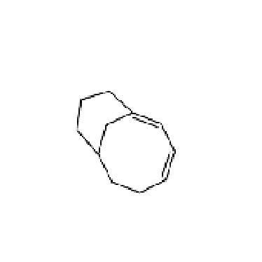 C1=CCCC2CCCC(=C1)C2